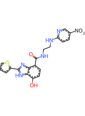 O=C(NCCNc1ccc([N+](=O)[O-])cn1)c1ccc(O)c2[nH]c(-c3cccs3)nc12